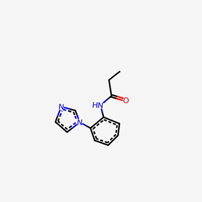 CCC(=O)Nc1ccccc1-n1ccnc1